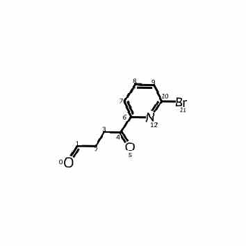 O=CCCC(=O)c1cccc(Br)n1